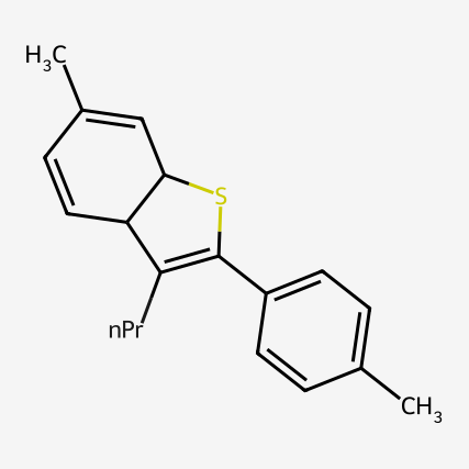 CCCC1=C(c2ccc(C)cc2)SC2C=C(C)C=CC12